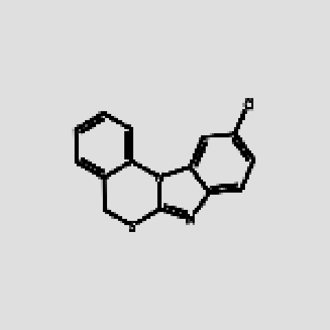 Clc1ccc2nc3n(c2c1)-c1ccccc1CS3